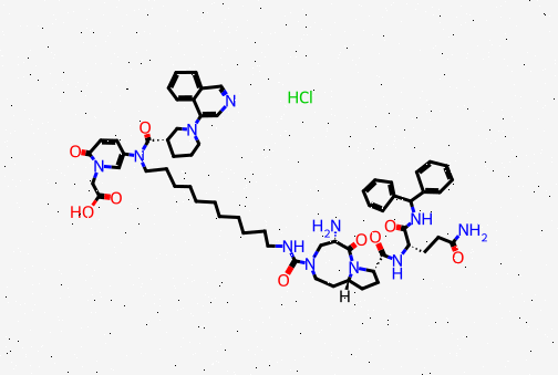 Cl.NC(=O)CC[C@H](NC(=O)[C@@H]1CC[C@@H]2CCN(C(=O)NCCCCCCCCCCCN(C(=O)[C@H]3CCCN(c4cncc5ccccc45)C3)c3ccc(=O)n(CC(=O)O)c3)C[C@H](N)C(=O)N21)C(=O)NC(c1ccccc1)c1ccccc1